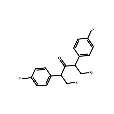 CC(C)c1ccc(C(CBr)C(=O)C(CBr)c2ccc(C(C)C)cc2)cc1